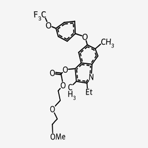 CCc1nc2cc(C)c(Oc3ccc(OC(F)(F)F)cc3)cc2c(OC(=O)OCCOCCOC)c1C